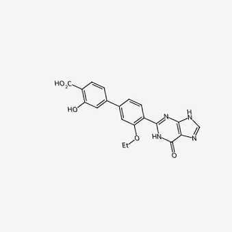 CCOc1cc(-c2ccc(C(=O)O)c(O)c2)ccc1-c1nc2[nH]cnc2c(=O)[nH]1